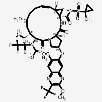 CC[C@@H]1C[C@H](C)CCC=C[C@@H]2C[C@@]2(C(=O)NS(=O)(=O)C2(C)CC2)NC(=O)[C@@H]2C[C@@H](Oc3cc4nc(OC)c(C(F)(F)F)nc4cc3OC)CN2C(=O)[C@H]1N(C(=O)O)C(C)(C)C(F)(F)F